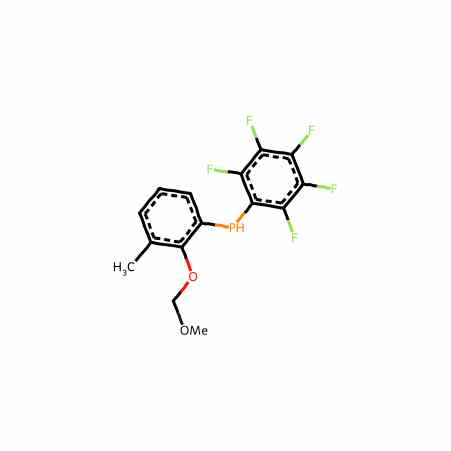 COCOc1c(C)cccc1Pc1c(F)c(F)c(F)c(F)c1F